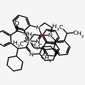 COc1ccccc1N1CCN(c2c(C(C)C)cccc2C(C)C)C1=[N][Zr]1([CH2]c2ccccc2)([CH2]c2ccccc2)[NH]C(=O)c2ccccc2C(C2CCCCC2)[C]1=NC1CCCCC1